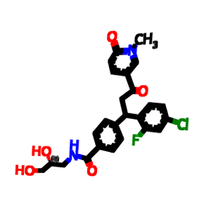 Cn1cc(C(=O)CC(c2ccc(C(=O)NC[C@@H](O)CO)cc2)c2ccc(Cl)cc2F)ccc1=O